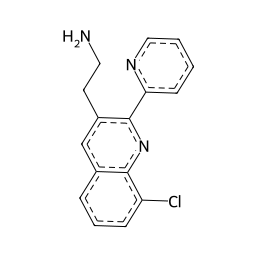 NCCc1cc2cccc(Cl)c2nc1-c1ccccn1